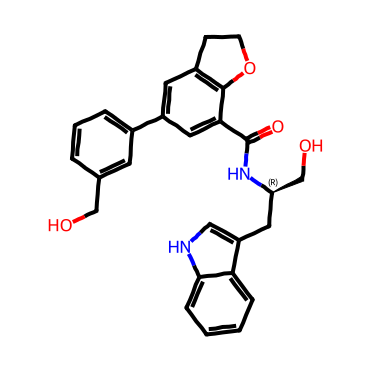 O=C(N[C@@H](CO)Cc1c[nH]c2ccccc12)c1cc(-c2cccc(CO)c2)cc2c1OCC2